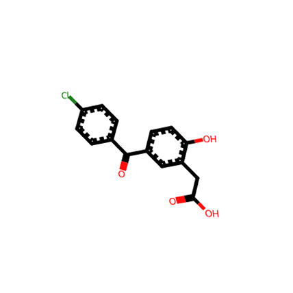 O=C(O)Cc1cc(C(=O)c2ccc(Cl)cc2)ccc1O